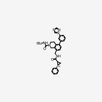 CC(C)(C)NC(=O)N1CCc2c(-c3cccc(-n4cncn4)c3)ccc(CNC(=O)C3C[C@H]3c3ccccc3)c2C1